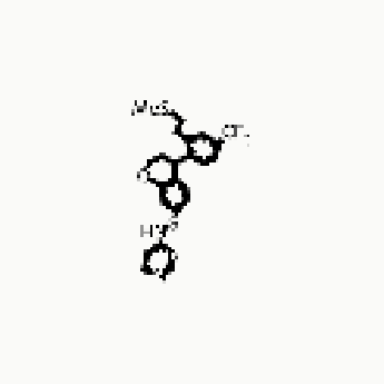 CSCCc1cc(C(F)(F)F)ccc1C1CCOc2cc(SNc3ccncn3)ccc21